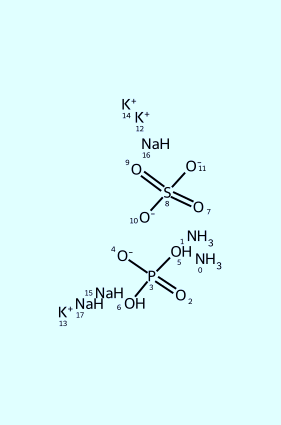 N.N.O=P([O-])(O)O.O=S(=O)([O-])[O-].[K+].[K+].[K+].[NaH].[NaH].[NaH]